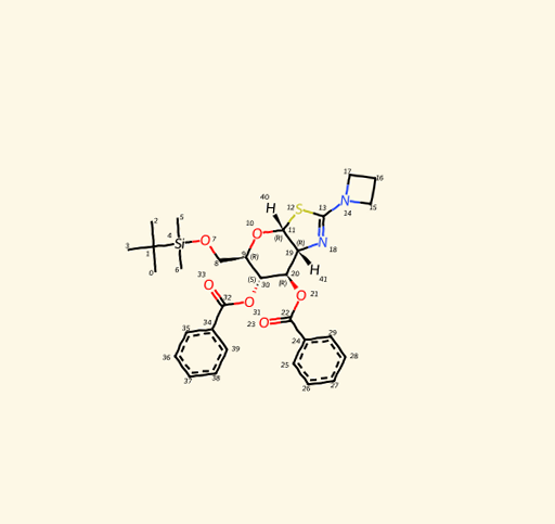 CC(C)(C)[Si](C)(C)OC[C@H]1O[C@@H]2SC(N3CCC3)=N[C@@H]2[C@@H](OC(=O)c2ccccc2)[C@@H]1OC(=O)c1ccccc1